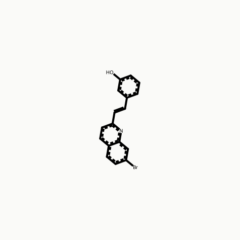 Oc1cccc(C=Cc2ccc3ccc(Br)cc3n2)c1